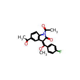 COC(=C1C(=O)N(C(C)=O)c2ccc(C(C)=O)cc21)c1ccc(F)cc1